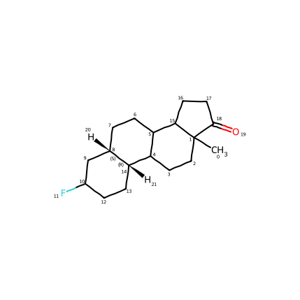 CC12CCC3C(CC[C@H]4CC(F)CC[C@@H]34)C1CCC2=O